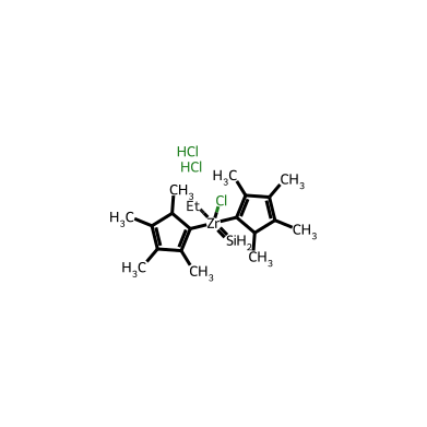 C[CH2][Zr](=[SiH2])([Cl])([C]1=C(C)C(C)=C(C)C1C)[C]1=C(C)C(C)=C(C)C1C.Cl.Cl